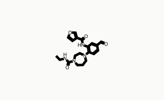 CCNC(=O)N1CCCN(c2ccc(C=O)cc2NC(=O)c2ccoc2)CC1